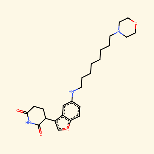 O=C1CCC(c2coc3ccc(NCCCCCCCCN4CCOCC4)cc23)C(=O)N1